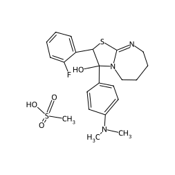 CN(C)c1ccc(C2(O)C(c3ccccc3F)SC3=NCCCCN32)cc1.CS(=O)(=O)O